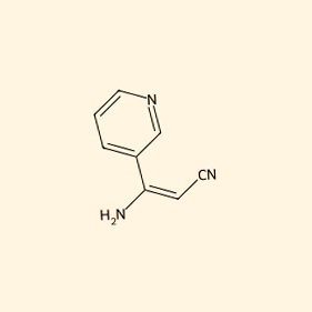 N#C/C=C(/N)c1cccnc1